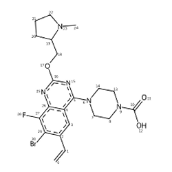 C=Cc1cc2c(N3CCN(C(=O)O)CC3)nc(OCC3CCCN3C)nc2c(F)c1Br